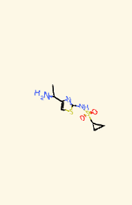 CC(N)c1csc(NS(=O)(=O)C2CC2)n1